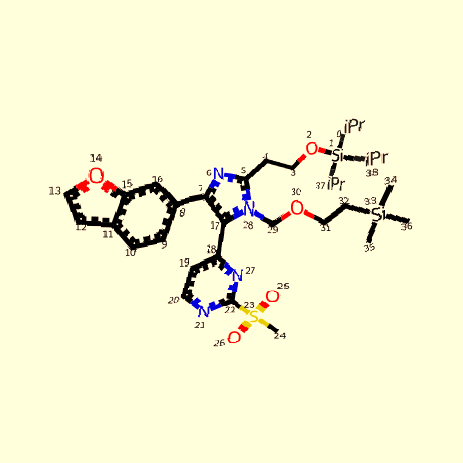 CC(C)[Si](OCCc1nc(-c2ccc3ccoc3c2)c(-c2ccnc(S(C)(=O)=O)n2)n1COCC[Si](C)(C)C)(C(C)C)C(C)C